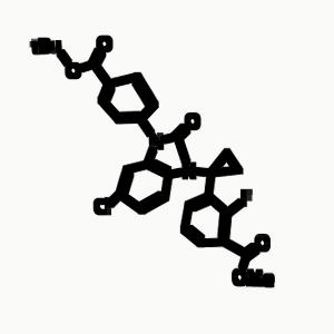 COC(=O)c1cccc(C2(n3c(=O)n(-c4ccc(C(=O)OC(C)(C)C)cc4)c4cc(Cl)ccc43)CC2)c1F